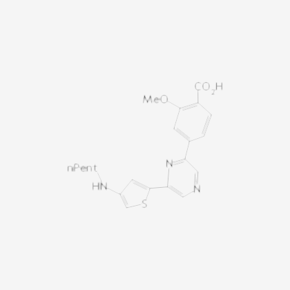 CCCCCNc1csc(-c2cncc(-c3ccc(C(=O)O)c(OC)c3)n2)c1